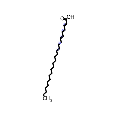 CCCCCCCCCCCCCCC/C=C/C=C/C=C/C=C/C=C/C(=O)O